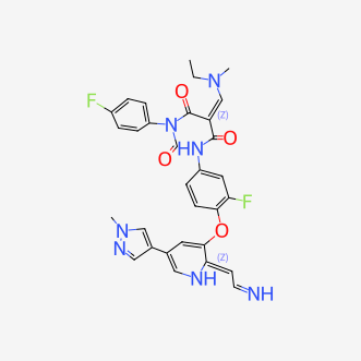 CCN(C)/C=C(/C(=O)Nc1ccc(OC2=CC(c3cnn(C)c3)=CN/C2=C\C=N)c(F)c1)C(=O)N(C=O)c1ccc(F)cc1